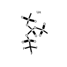 CS(=O)(=O)OP(=O)(OS(C)(=O)=O)OS(=O)(=O)C(F)(F)F.[LiH]